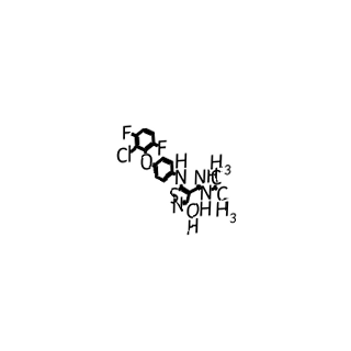 CC(C)NC(=N)c1c(O)nsc1Nc1ccc(Oc2c(F)ccc(F)c2Cl)cc1